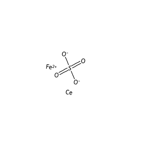 O=S(=O)([O-])[O-].[Ce].[Fe+2]